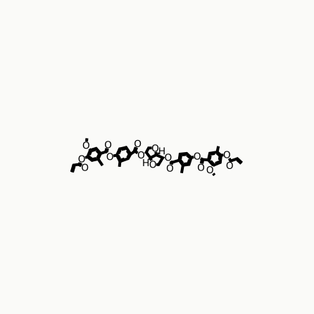 C=CC(=O)Oc1cc(OC)c(C(=O)Oc2ccc(C(=O)O[C@@H]3CO[C@H]4[C@@H]3OC[C@H]4OC(=O)c3ccc(OC(=O)c4cc(OC)c(OC(=O)C=C)cc4C)c(C)c3)c(C)c2)cc1C